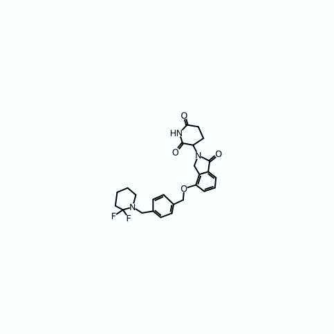 O=C1CCC(N2Cc3c(OCc4ccc(CN5CCCCC5(F)F)cc4)cccc3C2=O)C(=O)N1